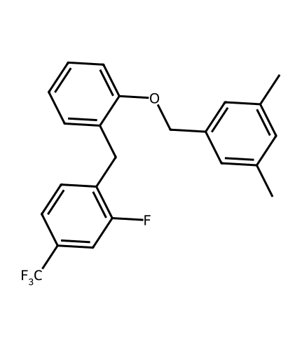 Cc1cc(C)cc(COc2ccccc2Cc2ccc(C(F)(F)F)cc2F)c1